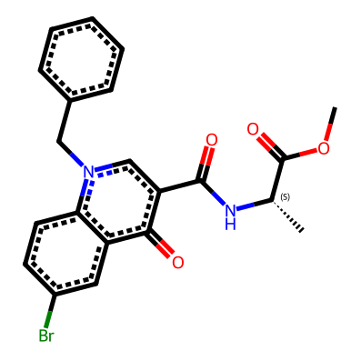 COC(=O)[C@H](C)NC(=O)c1cn(Cc2ccccc2)c2ccc(Br)cc2c1=O